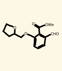 COC(=O)c1c(C=O)cccc1OCC1CCCO1